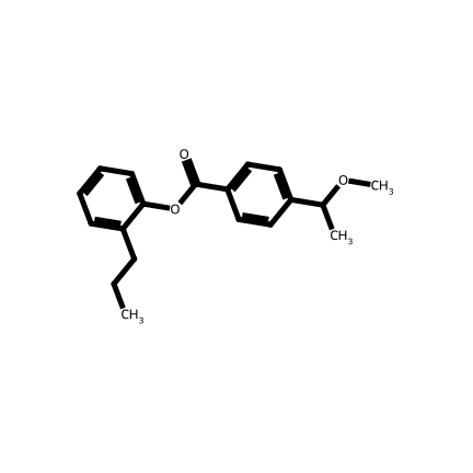 CCCc1ccccc1OC(=O)c1ccc(C(C)OC)cc1